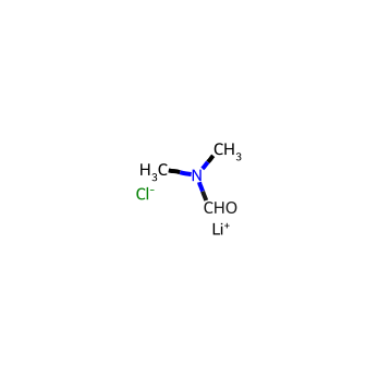 CN(C)C=O.[Cl-].[Li+]